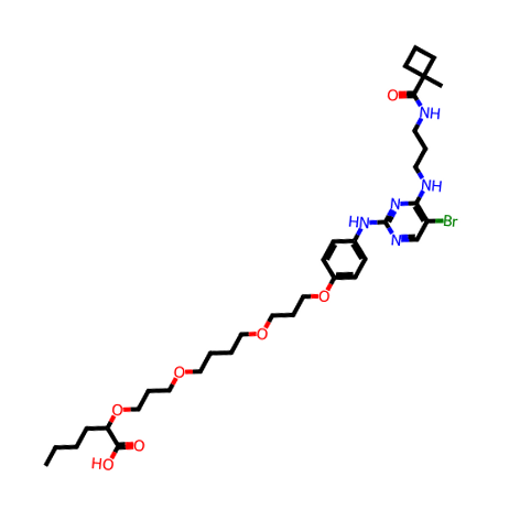 CCCCC(OCCCOCCCCOCCCOc1ccc(Nc2ncc(Br)c(NCCCNC(=O)C3(C)CCC3)n2)cc1)C(=O)O